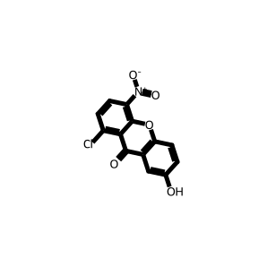 O=c1c2cc(O)ccc2oc2c([N+](=O)[O-])ccc(Cl)c12